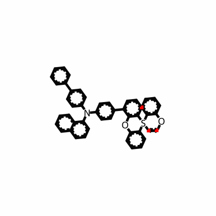 c1ccc(-c2ccc(N(c3ccc(-c4cccc5c4Oc4ccccc4S54c5ccccc5Oc5ccccc54)cc3)c3cccc4ccccc34)cc2)cc1